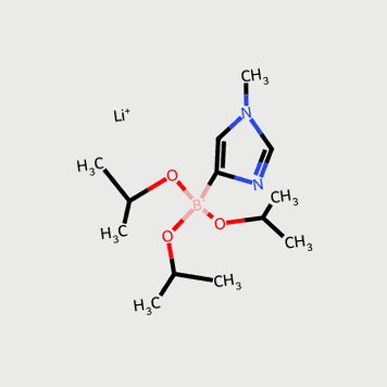 CC(C)O[B-](OC(C)C)(OC(C)C)c1cn(C)cn1.[Li+]